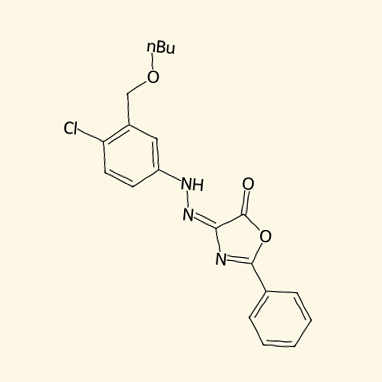 CCCCOCc1cc(N/N=C2/N=C(c3ccccc3)OC2=O)ccc1Cl